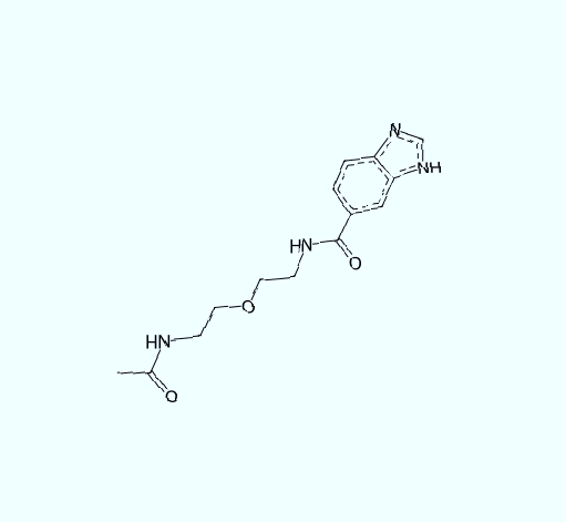 CC(=O)NCCOCCNC(=O)c1ccc2nc[nH]c2c1